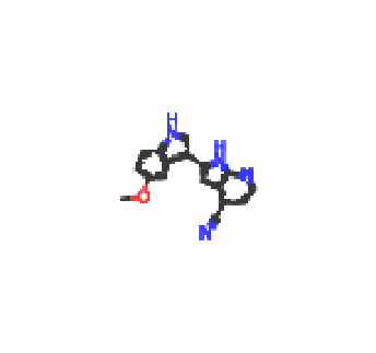 COc1ccc2[nH]cc(-c3cc4c(C#N)ccnc4[nH]3)c2c1